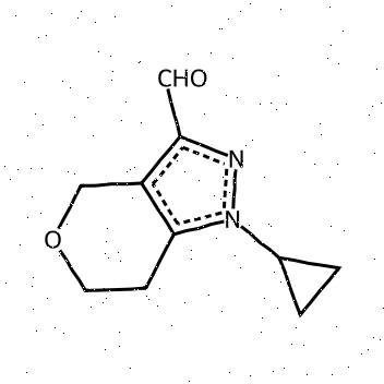 O=Cc1nn(C2CC2)c2c1COCC2